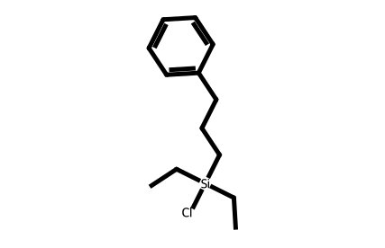 CC[Si](Cl)(CC)CCCc1ccccc1